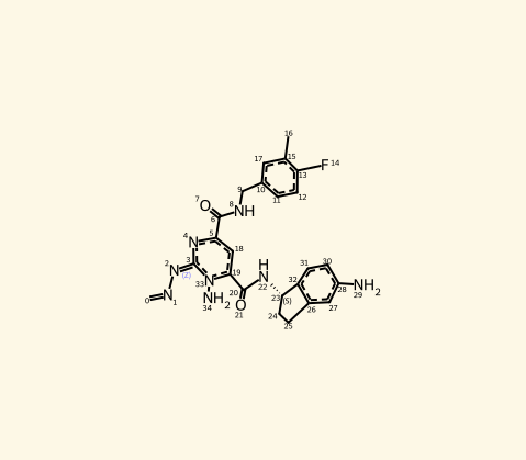 C=N/N=c1/nc(C(=O)NCc2ccc(F)c(C)c2)cc(C(=O)N[C@H]2CCc3cc(N)ccc32)n1N